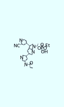 C=CC(=O)N(C)c1cncc(-c2cnc3c(c2)c(-c2ccnc(C#N)c2)cn3C(C)OP(=O)(O)OCC)c1